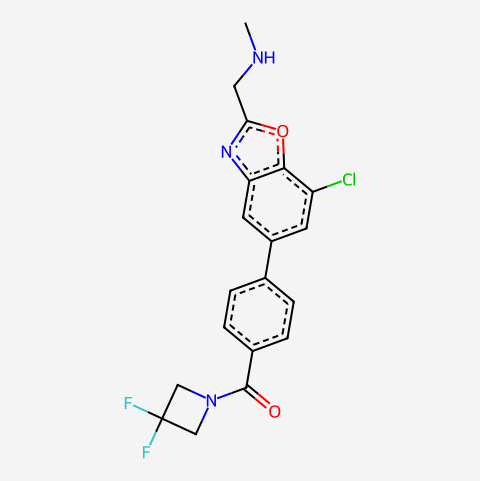 CNCc1nc2cc(-c3ccc(C(=O)N4CC(F)(F)C4)cc3)cc(Cl)c2o1